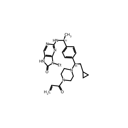 C=CC(=O)N1CCN([C@H](CC2CC2)c2ccc([C@H](C)Nc3ncc4[nH]c(=O)n(CC)c4n3)cc2)CC1